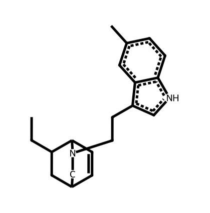 CCC1CC2C=CC1N(CCc1c[nH]c3ccc(C)cc13)C2